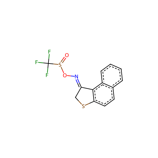 O=S(O/N=C1\CSc2ccc3ccccc3c21)C(F)(F)F